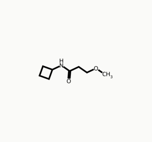 COCCC(=O)NC1CCC1